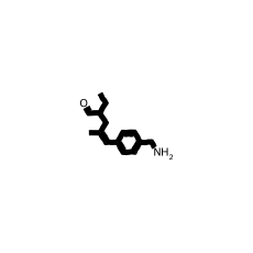 CCC(C=O)CC(C)=Cc1ccc(CN)cc1